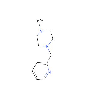 CCCN1CCN(Cc2ccccn2)CC1